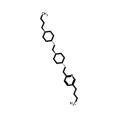 CCCCc1ccc(CC[C@H]2CC[C@H](CC[C@H]3CC[C@H](CCCC)CC3)CC2)nc1